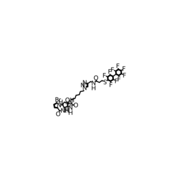 O=C(CCSc1c(F)c(F)c(-c2c(F)c(F)c(F)c(F)c2F)c(F)c1F)NCc1cn(CCCCCCN2C(=O)N[C@H]3[C@@H]4NC(=O)c5ccc(Br)n5[C@@H]4C[C@]32O)nn1